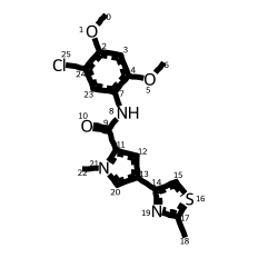 COc1cc(OC)c(NC(=O)c2cc(-c3csc(C)n3)cn2C)cc1Cl